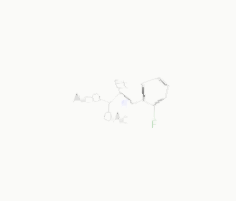 CC/C(=C\c1ccccc1F)C(OC(C)=O)OC(C)=O